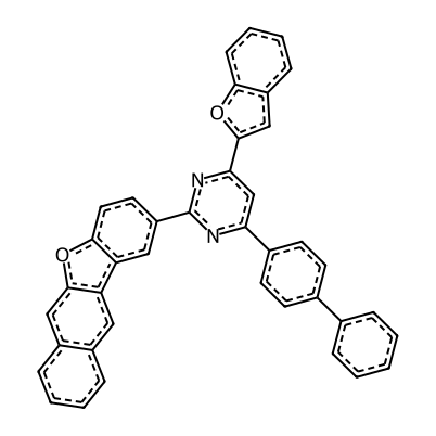 c1ccc(-c2ccc(-c3cc(-c4cc5ccccc5o4)nc(-c4ccc5oc6cc7ccccc7cc6c5c4)n3)cc2)cc1